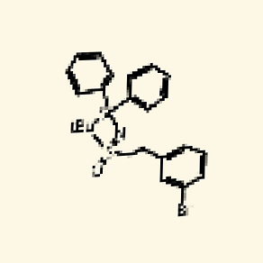 CC(C)(C)[Si](N=S(C)(=O)CCc1cccc(Br)c1)(c1ccccc1)c1ccccc1